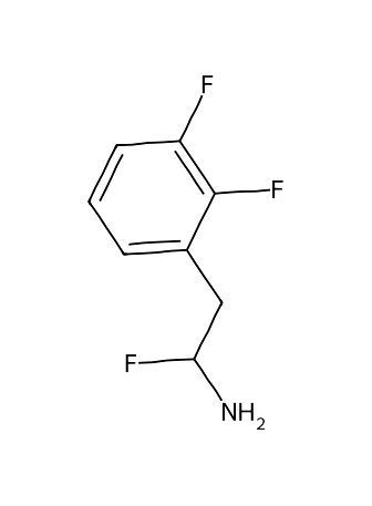 NC(F)Cc1cccc(F)c1F